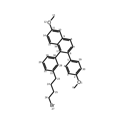 COc1ccc(-c2ccc3cc(OC)ccc3c2-c2cccc(CCCCBr)c2)cc1